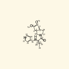 COc1cc2c(cc1OC)CN(C(=O)[C@@H](NCc1ccncc1)C(C)(C)C)CC2